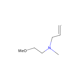 [CH]=CCN(C)CCOC